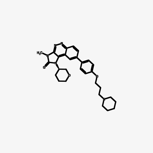 Cn1c(=O)n([C@@H]2CCCOC2)c2c3cc(-c4ccc(OCCCN5CCCCC5)cc4)ccc3nnc21